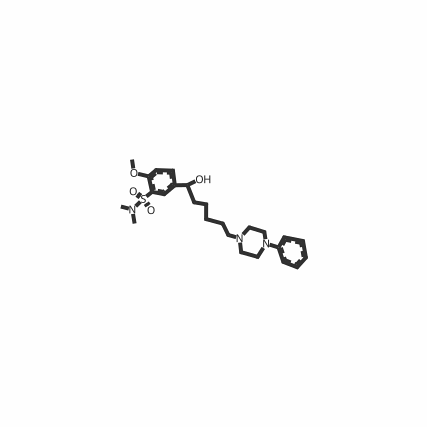 COc1ccc(C(O)CCCCCN2CCN(c3ccccc3)CC2)cc1S(=O)(=O)N(C)C